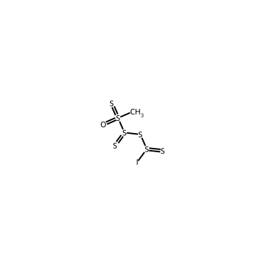 CS(=O)(=S)S(=S)SS(=S)I